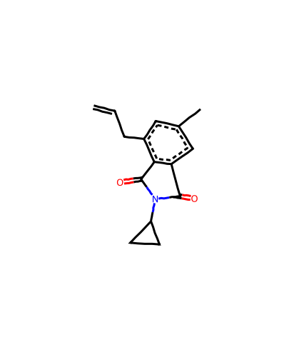 C=CCc1cc(C)cc2c1C(=O)N(C1CC1)C2=O